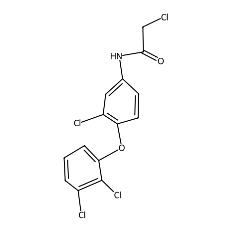 O=C(CCl)Nc1ccc(Oc2cccc(Cl)c2Cl)c(Cl)c1